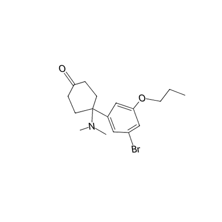 CCCOc1cc(Br)cc(C2(N(C)C)CCC(=O)CC2)c1